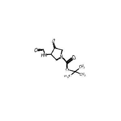 CC(C)(C)OC(=O)N1CC(=O)C(NC=O)C1